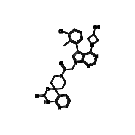 Cc1c(Cl)cccc1-c1cn(CC(=O)N2CCC3(CC2)OC(=O)Nc2ncccc23)c2ncnc(N3CC(O)C3)c12